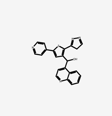 OC(c1cc(-c2ccncc2)sc1C1=NN=CC1)c1ccnc2ccccc12